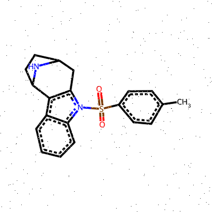 Cc1ccc(S(=O)(=O)n2c3c(c4ccccc42)C2CCC(C3)N2)cc1